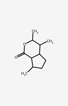 CC1CCC2C(C)C(C)OC(=O)C12